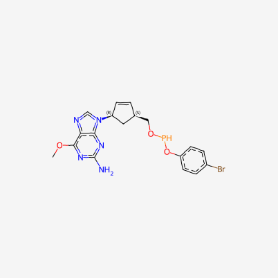 COc1nc(N)nc2c1ncn2[C@H]1C=C[C@@H](COPOc2ccc(Br)cc2)C1